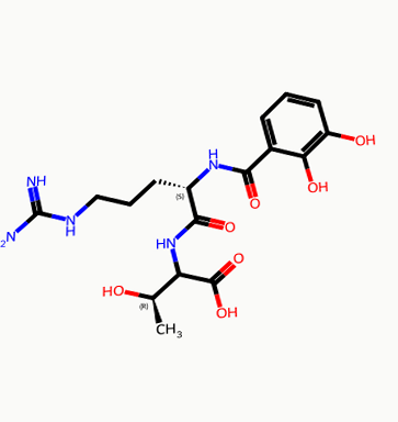 C[C@@H](O)C(NC(=O)[C@H](CCCNC(=N)N)NC(=O)c1cccc(O)c1O)C(=O)O